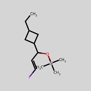 CCC1CC(C(/C=C/I)O[Si](C)(C)C)C1